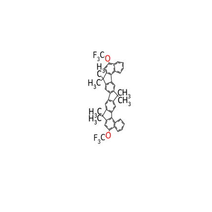 CC1(C)c2cc3c(cc2-c2cc4c(cc21)-c1c(cc(OC(F)(F)F)c2ccccc12)C4(C)C)C(C)(C)c1cc(OC(F)(F)F)c2ccccc2c1-3